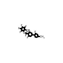 Cc1ccc(-c2cc(F)c(C(F)(F)Oc3c(C)c(F)c(F)c(F)c3F)c(F)c2)c(F)c1